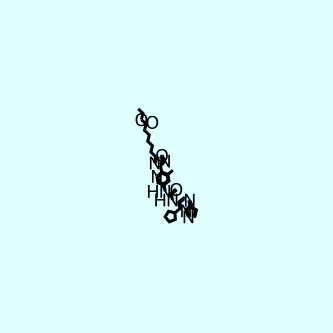 CCOC(=O)CCCCCc1nc(-c2ncc(NC(=O)Nc3cnc4ccnn4c3C3CCCC3)cc2C)no1